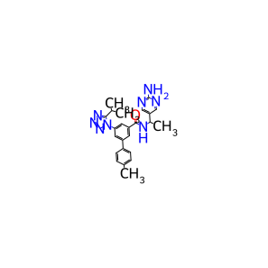 Cc1ccc(-c2cc(C(=O)NC(C)c3cnc(N)nc3)cc(-n3nnnc3C(C)C)c2)cc1